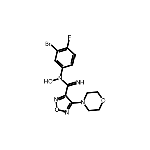 N=C(c1nonc1N1CCOCC1)N(O)c1ccc(F)c(Br)c1